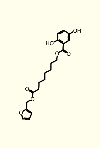 O=C(CCCCCCCOC(=O)c1cc(O)ccc1O)OCc1ccco1